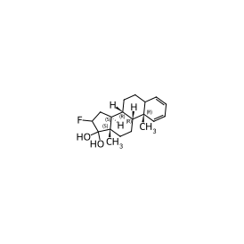 C[C@]12C=CC=CC1CC[C@@H]1[C@H]2CC[C@@]2(C)[C@H]1CC(F)C2(O)O